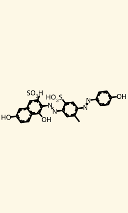 Cc1cc(N=Nc2c(S(=O)(=O)O)cc3cc(O)ccc3c2O)c(S(=O)(=O)O)cc1N=Nc1ccc(O)cc1